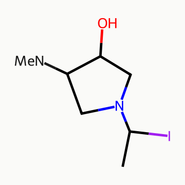 CNC1CN(C(C)I)CC1O